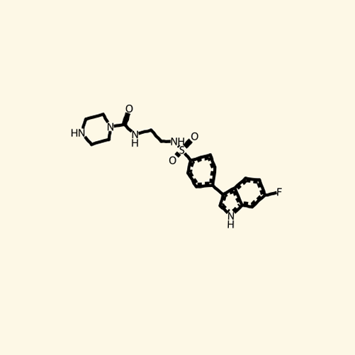 O=C(NCCNS(=O)(=O)c1ccc(-c2c[nH]c3cc(F)ccc23)cc1)N1CCNCC1